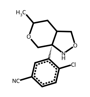 CC1CC2CON[C@@]2(c2cc(C#N)ccc2Cl)CO1